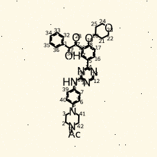 CC(=O)N1CCN(c2ccc(Nc3ncnc(-c4ccc(OC5CCOCC5)c(C(=O)C(O)c5ccccc5)c4)n3)cc2)CC1